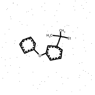 CCC(C)(C)c1cccc(Oc2ccccc2)c1